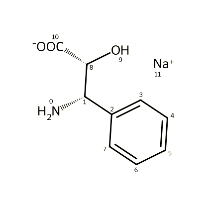 N[C@@H](c1ccccc1)[C@@H](O)C(=O)[O-].[Na+]